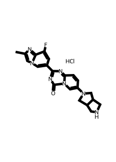 Cc1cn2cc(-c3nc(=O)n4cc(N5CC6CNCC6C5)ccc4n3)cc(F)c2n1.Cl